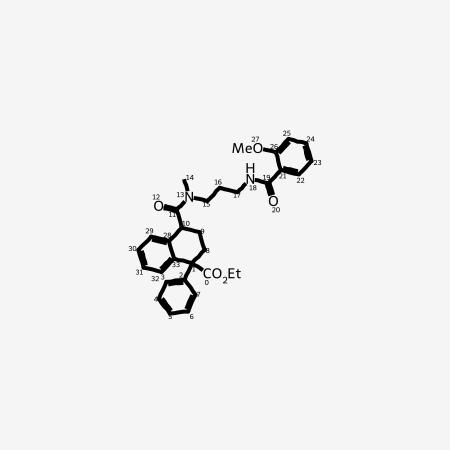 CCOC(=O)C1(c2ccccc2)CCC(C(=O)N(C)CCCNC(=O)c2ccccc2OC)c2ccccc21